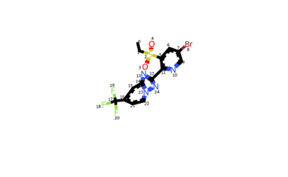 CCS(=O)(=O)c1cc(Br)cnc1-c1nc2cc(C(F)(F)F)ccn2n1